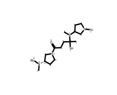 CC(=O)N1CCC(N(C)C(C)(S)CCC(=O)N2CC[C@H](N(C)C(C)(C)C)C2)C1